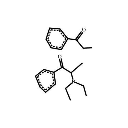 CCC(=O)c1ccccc1.CCN(CC)C(C)C(=O)c1ccccc1